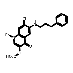 CCn1cc(OC(=O)O)c(=O)c2cc(NCCCc3ccccc3)c(Cl)cc21